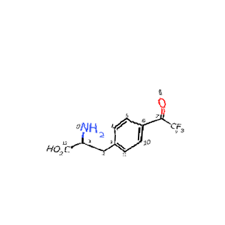 N[C@@H](Cc1ccc(C(=O)C(F)(F)F)cc1)C(=O)O